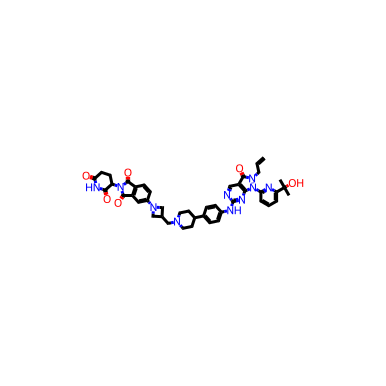 C=CCn1c(=O)c2cnc(Nc3ccc(C4CCN(CC5CN(c6ccc7c(c6)C(=O)N(C6CCC(=O)NC6=O)C7=O)C5)CC4)cc3)nc2n1-c1cccc(C(C)(C)O)n1